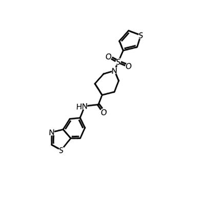 O=C(Nc1ccc2scnc2c1)C1CCN(S(=O)(=O)c2ccsc2)CC1